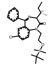 CC[C@H](C)C1N=C(c2ccccc2)c2cc(Cl)ccc2N(CCO[Si](C)(C)C(C)(C)C)C1=O